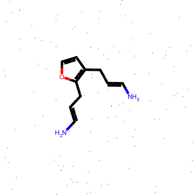 NC=CCc1ccoc1CC=CN